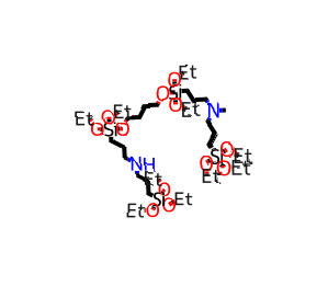 CCO[Si](CCCNCCC[Si](OCC)(OCC)OCCCCO[Si](CCCN(C)CCC[Si](OCC)(OCC)OCC)(OCC)OCC)(OCC)OCC